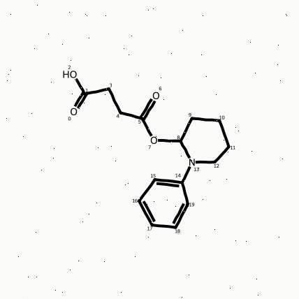 O=C(O)CCC(=O)OC1CCCCN1c1ccccc1